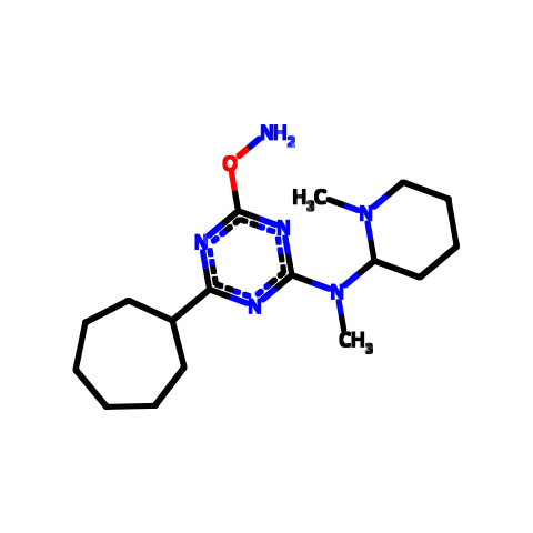 CN1CCCCC1N(C)c1nc(ON)nc(C2CCCCCC2)n1